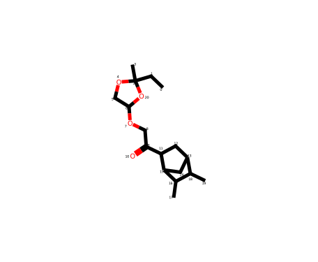 CCC1(C)OCC(OCC(=O)C2CC3CC2C(C)C3C)O1